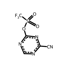 N#Cc1ncnc(OS(=O)(=O)C(F)(F)F)n1